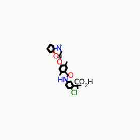 Cc1cc(C(=O)Nc2ccc(Cl)c(C(C)(C)C(=O)O)c2)c(C)cc1OC[C@@H]1CN(C)c2ccccc2O1